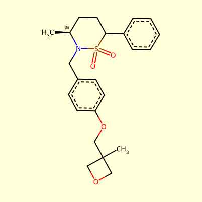 C[C@H]1CCC(c2ccccc2)S(=O)(=O)N1Cc1ccc(OCC2(C)COC2)cc1